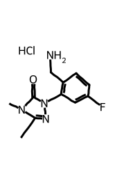 Cc1nn(-c2cc(F)ccc2CN)c(=O)n1C.Cl